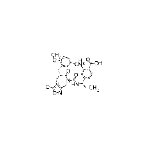 CC[C@@H](NC(=O)N1Cc2noc(=O)n2C[C@H](Cc2cc(Cl)ccc2OC)C1=O)c1ccc(C(=O)O)c(N)c1